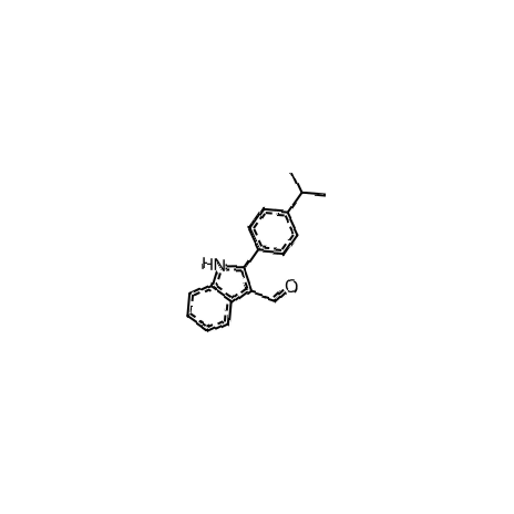 CC(C)c1ccc(-c2[nH]c3ccccc3c2C=O)cc1